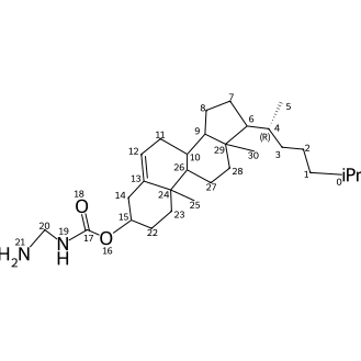 CC(C)CCC[C@@H](C)C1CCC2C3CC=C4CC(OC(=O)NCN)CCC4(C)C3CCC21C